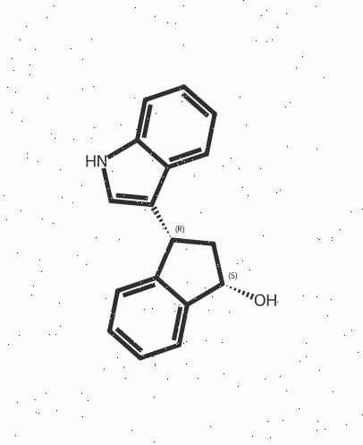 O[C@H]1C[C@@H](c2c[nH]c3ccccc23)c2ccccc21